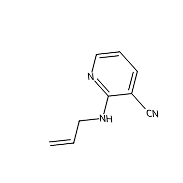 C=CCNc1ncccc1C#N